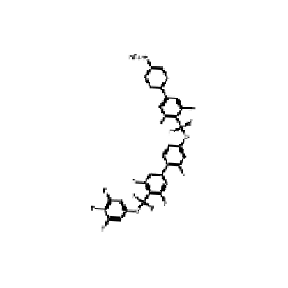 CCCCCC1CCC(c2cc(F)c(C(F)(F)Oc3ccc(-c4cc(F)c(C(F)(F)Oc5cc(F)c(F)c(F)c5)c(F)c4)c(F)c3)c(F)c2)CC1